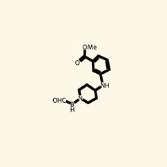 COC(=O)c1cccc(NC2CCN(BC=O)CC2)c1